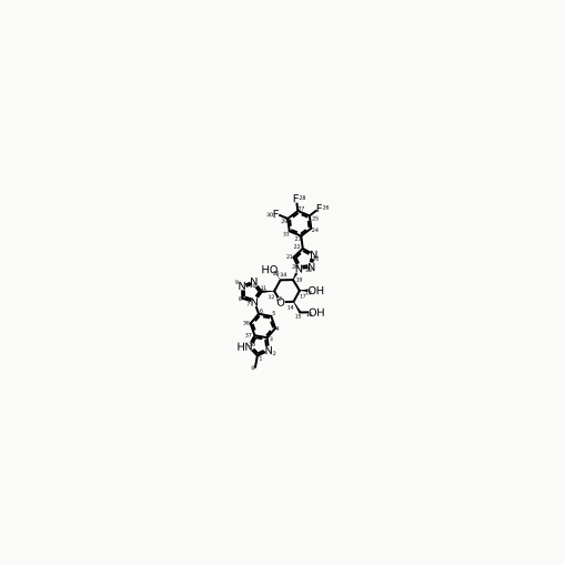 Cc1nc2ccc(-n3cnnc3[C@@H]3O[C@H](CO)[C@H](O)[C@H](n4cc(-c5cc(F)c(F)c(F)c5)nn4)[C@H]3O)cc2[nH]1